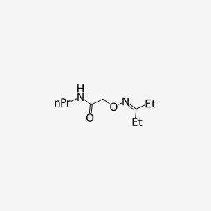 CCCNC(=O)CON=C(CC)CC